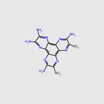 Nc1nc2c(nc1N)c1nc(N)c([N+](=O)[O-])nc1c1nc([N+](=O)[O-])c(N)nc21